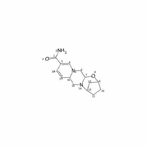 NC(=O)C1=CN2CC3OC4CCC(C4)N3CC2C=C1